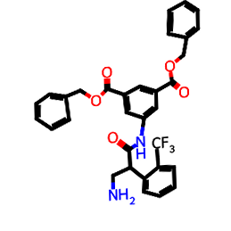 NCC(C(=O)Nc1cc(C(=O)OCc2ccccc2)cc(C(=O)OCc2ccccc2)c1)c1ccccc1C(F)(F)F